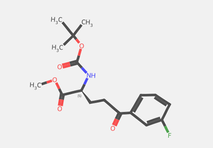 COC(=O)[C@H](CCC(=O)c1cccc(F)c1)NC(=O)OC(C)(C)C